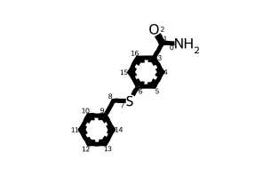 NC(=O)c1ccc(SCc2ccccc2)cc1